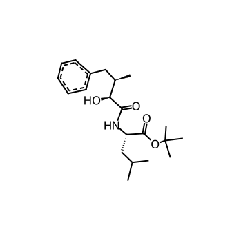 CC(C)C[C@H](NC(=O)[C@@H](O)[C@H](C)Cc1ccccc1)C(=O)OC(C)(C)C